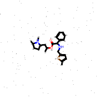 Cc1ccc(CNC(C(=O)OC(C)CC2CCC(C)N2C)c2ccccc2)s1